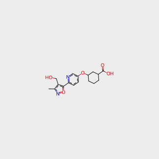 Cc1noc(-c2ccc(OC3CCCC(C(=O)O)C3)cn2)c1CO